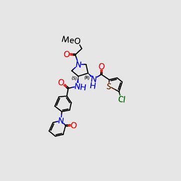 COCC(=O)N1C[C@H](NC(=O)c2ccc(-n3ccccc3=O)cc2)[C@H](NC(=O)c2ccc(Cl)s2)C1